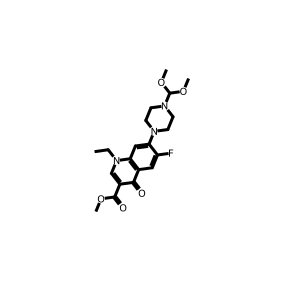 CCn1cc(C(=O)OC)c(=O)c2cc(F)c(N3CCN(C(OC)OC)CC3)cc21